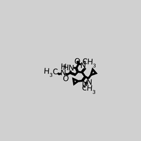 CCNC(=O)c1cc2c(-c3c(C4CC4)nn(C)c3C3CC3)cn(C)c(=O)c2[nH]1